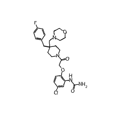 NC(=O)Nc1cc(Cl)ccc1OCC(=O)N1CCC(Cc2ccc(F)cc2)(CN2CCOCC2)CC1